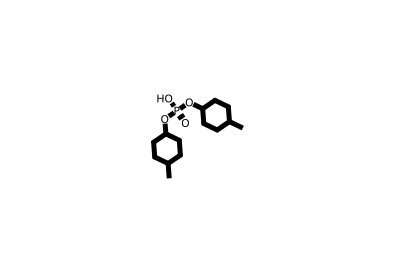 CC1CCC(OP(=O)(O)OC2CCC(C)CC2)CC1